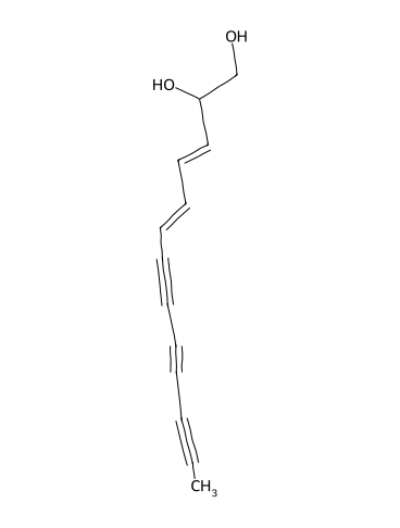 CC#CC#CC#CC=CC=CC(O)CO